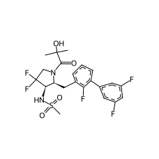 CC(C)(O)C(=O)N1CC(F)(F)[C@H](NS(C)(=O)=O)[C@@H]1Cc1cccc(-c2cc(F)cc(F)c2)c1F